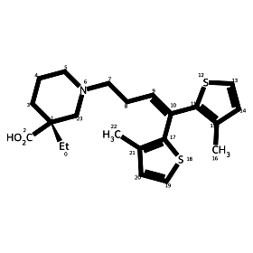 CC[C@@]1(C(=O)O)CCCN(CCC=C(c2sccc2C)c2sccc2C)C1